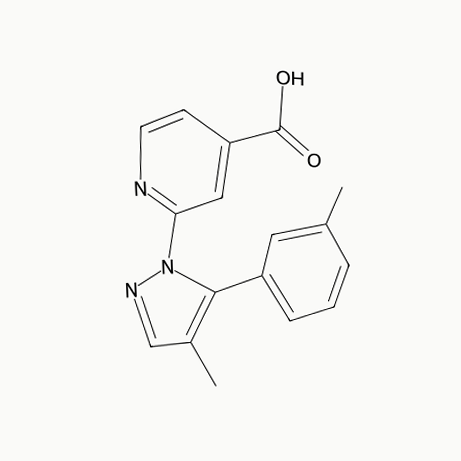 Cc1cccc(-c2c(C)cnn2-c2cc(C(=O)O)ccn2)c1